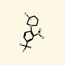 O=[N+]([O-])c1cc(C(F)(F)F)ccc1N1CCC[C@H](F)C1